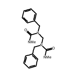 CNC(=O)N(Cc1ccccc1)CN(Cc1ccccc1)C(=O)NC